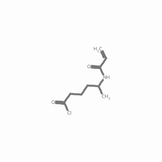 C=CC(=O)NC(C)CCCC(=O)Cl